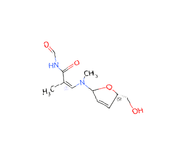 C/C(=C/N(C)C1C=C[C@@H](CO)O1)C(=O)NC=O